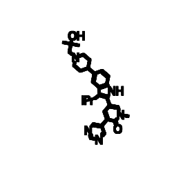 CC(C)c1c(-c2cc(-c3cncnc3)c(=O)n(C)c2)[nH]c2ccc(C3CCN(CC(C)(C)O)CC3)cc12